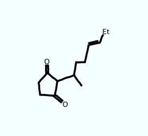 CC/C=C/CCC(C)C1C(=O)CCC1=O